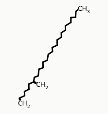 C=CCCCCC(=C)CCCCCCCCCCCCCCCCCCCC